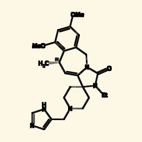 CCN1C(=O)N2Cc3cc(OC)cc(OC)c3[C@@H](C)C=C2C12CCN(Cc1cnc[nH]1)CC2